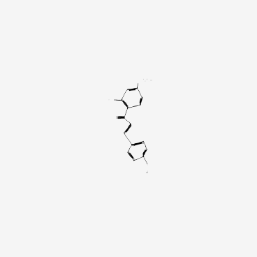 CCOc1ccc(/C=C/C(=O)c2ccc(OC)cc2O)cc1